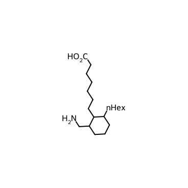 CCCCCCC1CCCC(CN)C1CCCCCCC(=O)O